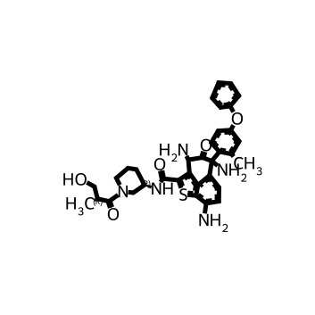 Cc1cc(Oc2ccccc2)ccc1C1(N)C(=O)C(N)c2c(C(=O)N[C@@H]3CCCN(C(=O)[C@H](C)CO)C3)sc3c(N)ccc1c23